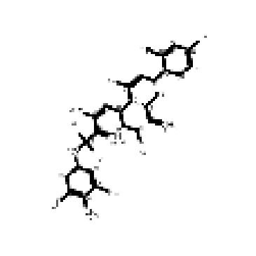 C=CC(F)[C@@H](/C(F)=C\CC1CC=C(I)C=C1F)C(/C=C(/F)C(=C)C(F)(F)O[C@H]1C=C(F)C(C(F)(F)F)=C(F)C1)CCF